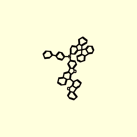 c1ccc(-c2ccc(N(c3ccc4c(c3)C3(c5ccccc5-c5ccccc53)c3ccccc3-4)c3ccc4oc5c(-c6cccc7c6oc6ccccc67)c6ccccc6cc5c4c3)cc2)cc1